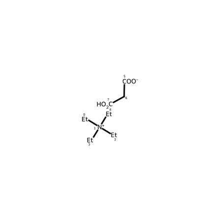 CC[N+](CC)(CC)CC.O=C([O-])CC(=O)O